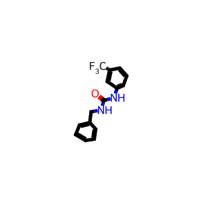 O=C(NCc1ccccc1)Nc1cccc(C(F)(F)F)c1